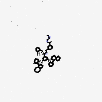 C/C=C\C=C/C(C)c1cccc(C/C=C(\NCc2ccccc2)c2cc(-n3c4ccccc4c4c5c(ccc43)C=CCC=C5)cc(-n3c4ccccc4c4c5ccccc5ccc43)c2)c1